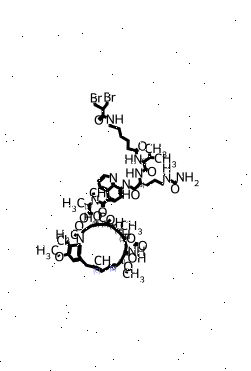 COc1cc2cc(c1Cl)N(C)C(=O)C[C@H](OC(=O)[C@H](C)N(C)C(=O)c1ccc(NC(=O)[C@H](CCCNC(N)=O)NC(=O)[C@@H](NC(=O)CCCCCNC(=O)C(CBr)CBr)C(C)C)c3ncccc13)[C@]1(C)O[C@H]1[C@H](C)[C@@H]1C[C@@](O)(NC(=O)O1)[C@H](OC)/C=C/C=C(\C)C2